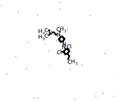 CCCc1cc(Cl)c(/N=N/c2ccc(N(CC)CCN(CC)CC)cc2)c(Cl)c1